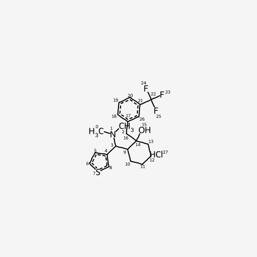 CN(C)C(c1ccsc1)C1CCCCC1(O)Cc1cccc(C(F)(F)F)c1.Cl